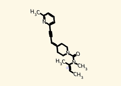 C/C=C(/C)N(C)C(=O)N1CCC(=CC#Cc2cccc(C)n2)CC1